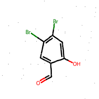 O=Cc1cc(Br)c(Br)cc1O